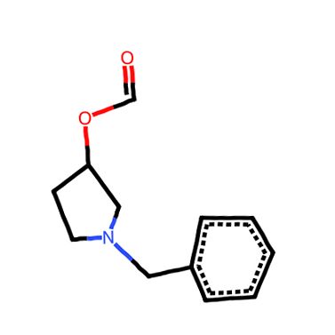 O=COC1CCN(Cc2ccccc2)C1